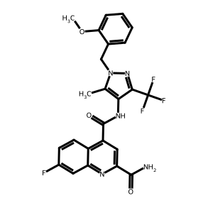 COc1ccccc1Cn1nc(C(F)(F)F)c(NC(=O)c2cc(C(N)=O)nc3cc(F)ccc23)c1C